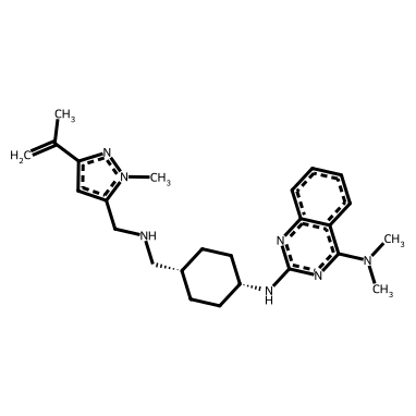 C=C(C)c1cc(CNC[C@H]2CC[C@@H](Nc3nc(N(C)C)c4ccccc4n3)CC2)n(C)n1